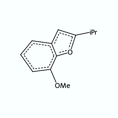 COc1cccc2cc(C(C)C)oc12